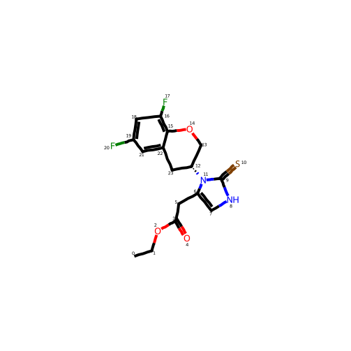 CCOC(=O)Cc1c[nH]c(=S)n1[C@H]1COc2c(F)cc(F)cc2C1